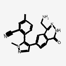 Cc1ccc(-c2c(-c3ccc4c(=O)[nH]nc(CN)c4c3)cnn2C)c(C#N)c1